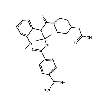 COc1ccccc1C(C(=O)N1CCC(CC(=O)O)CC1)C(C)(C)NC(=O)c1ccc(C(=N)N)cc1